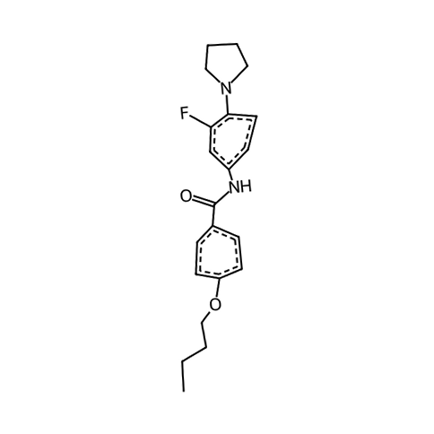 CCCCOc1ccc(C(=O)Nc2ccc(N3CCCC3)c(F)c2)cc1